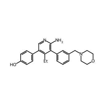 CCc1c(-c2ccc(O)cc2)cnc(N)c1-c1cccc(CN2CCOCC2)c1